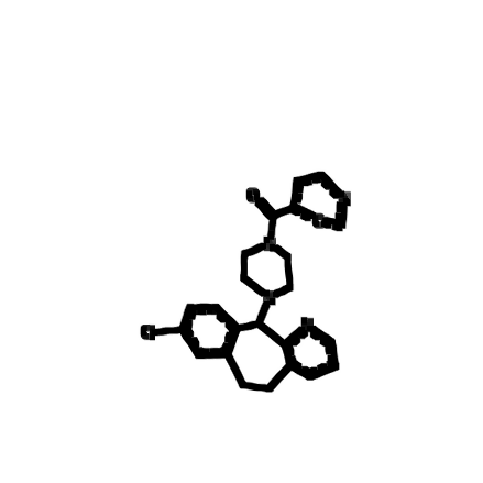 O=C(c1ccncc1)N1CCN(C2c3ccc(Cl)cc3CCc3cccnc32)CC1